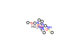 O=C(O)NC[C@@H]1Cc2ccccc2CN1C(=O)c1cc(NC(=O)CSc2ccccc2)ccc1-n1cc(C(=O)N(c2ccccc2)c2ccc(OCc3ccccc3)cc2)c2ccccc21